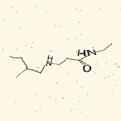 CCNC(=O)CCNCC(C)CC